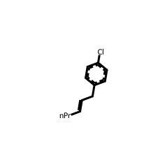 [CH2]CC/C=C/Cc1ccc(Cl)cc1